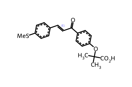 CSc1ccc(/C=C/C(=O)c2ccc(OC(C)(C)C(=O)O)cc2)cc1